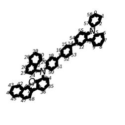 c1ccc(-n2c3ccccc3c3cc(-c4ccc(-c5ccc(N(c6cccc7ccccc67)c6cccc7c6oc6c8ccccc8ccc76)cc5)cc4)ccc32)cc1